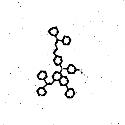 COc1ccc(N(c2ccc(/C=C/C=C(c3ccccc3)c3ccccc3)cc2)c2ccc(C=C(c3ccccc3)c3ccccc3)c3cc(-c4ccccc4)ccc23)cc1